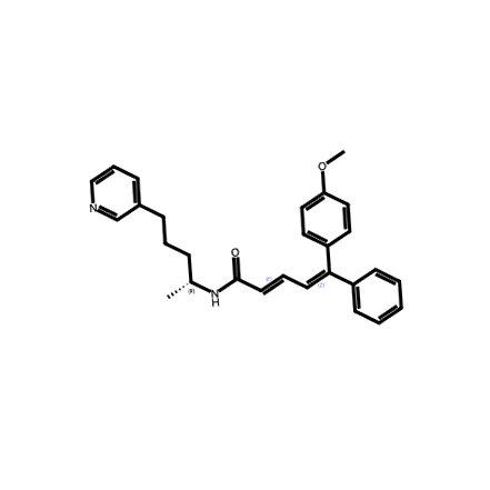 COc1ccc(/C(=C\C=C\C(=O)N[C@H](C)CCCc2cccnc2)c2ccccc2)cc1